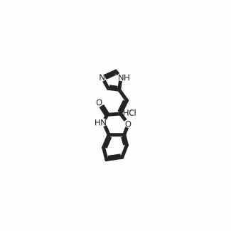 Cl.O=C1Nc2ccccc2O/C1=C/c1cnc[nH]1